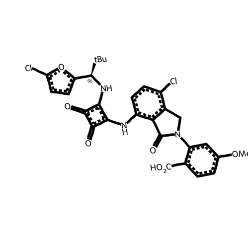 COc1ccc(C(=O)O)c(N2Cc3c(Cl)ccc(Nc4c(N[C@@H](c5ccc(Cl)o5)C(C)(C)C)c(=O)c4=O)c3C2=O)c1